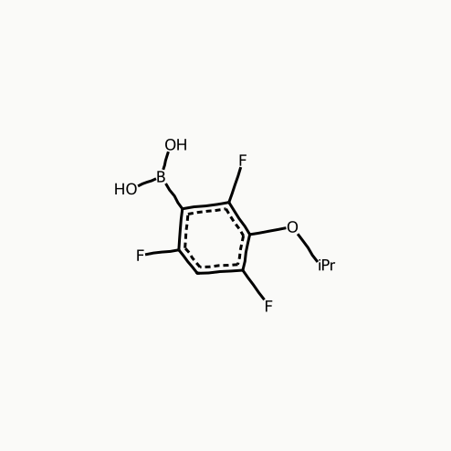 CC(C)Oc1c(F)cc(F)c(B(O)O)c1F